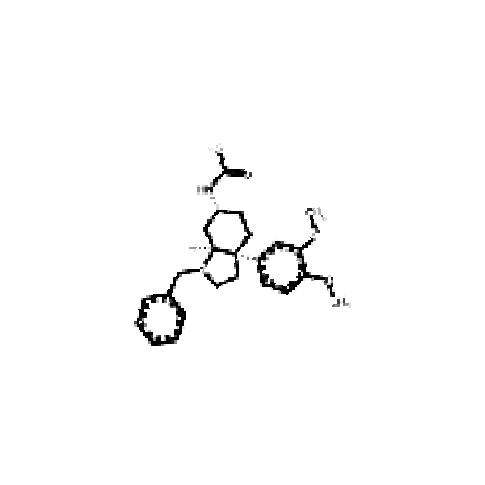 COc1ccc([C@@]23CC[C@@H](NC(=O)O)C[C@@H]2N(Cc2ccccc2)CC3)cc1OC